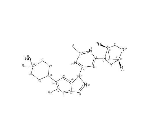 Cc1nc(N2C[C@@H]3C[C@H]2CO3)cc(-n2ncc3cc(C)c(C4CCC(C)(O)CC4)cc32)n1